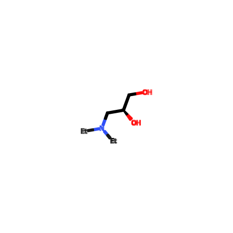 CCN(CC)C[C@H](O)CO